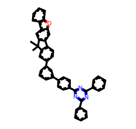 CC1(C)c2cc(-c3cccc(-c4ccc(-c5nc(-c6ccccc6)nc(-c6ccccc6)n5)cc4)c3)ccc2-c2cc3oc4ccccc4c3cc21